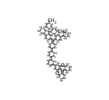 Cc1ccc(C2(c3ccc(C)cc3)c3ccccc3-c3ccc(N(c4ccc(-c5ccccc5)cc4)c4ccc(-c5ccc(-c6cccc(-c7cc8c9c(c7)Oc7ccccc7N9c7ccccc7O8)c6)cc5)cc4)cc32)cc1